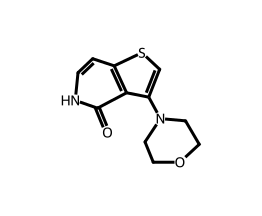 O=c1[nH]ccc2scc(N3CCOCC3)c12